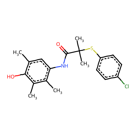 Cc1cc(NC(=O)C(C)(C)Sc2ccc(Cl)cc2)c(C)c(C)c1O